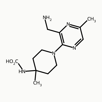 Cc1cnc(N2CCC(C)(NC(=O)O)CC2)c(CN)n1